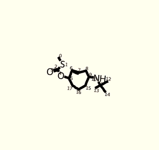 CSC(=O)OC1/C=C/CC(NC(C)(C)C)CCC1